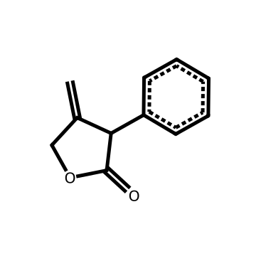 C=C1COC(=O)C1c1ccccc1